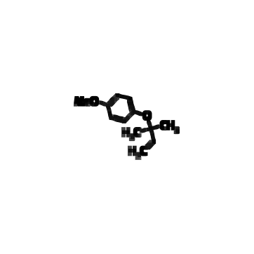 C=CC(C)(C)Oc1ccc(OC)cc1